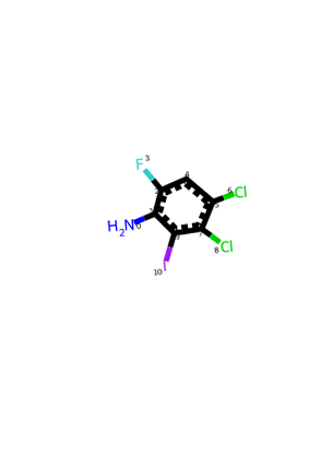 Nc1c(F)cc(Cl)c(Cl)c1I